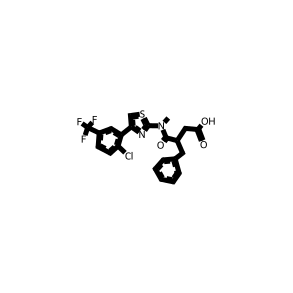 CN(C(=O)C(CC(=O)O)Cc1ccccc1)c1nc(-c2cc(C(F)(F)F)ccc2Cl)cs1